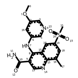 COc1cncc(Nc2c(C(N)=O)cnc3c(C)cc(S(C)(=O)=O)cc23)c1